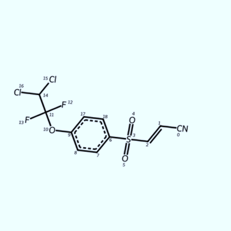 N#CC=CS(=O)(=O)c1ccc(OC(F)(F)C(Cl)Cl)cc1